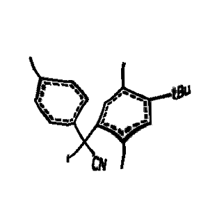 Cc1ccc(C(I)(C#N)c2cc(C)c(C(C)(C)C)cc2C)cc1